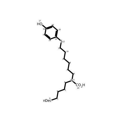 CCCCCCCCCCCCCCN(CCCCCCSc1ccc(O)cc1)C(=O)O